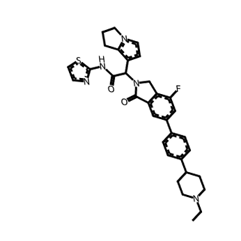 CCN1CCC(c2ccc(-c3cc(F)c4c(c3)C(=O)N(C(C(=O)Nc3nccs3)c3ccn5c3CCC5)C4)cc2)CC1